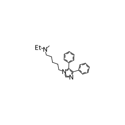 CCN(C)CCCCCn1cnc(-c2ccccc2)c1-c1ccccc1